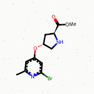 COC(=O)[C@@H]1C[C@@H](Oc2cc(C)nc(Br)c2)CN1